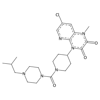 CC(C)CN1CCN(C(=O)N2CCC(n3c(=O)c(=O)n(C)c4cc(Cl)cnc43)CC2)CC1